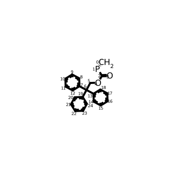 C=PC(=O)OCC(c1ccccc1)(c1ccccc1)c1ccccc1